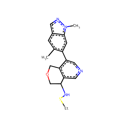 CCSNC1COCc2c(-c3cc4c(cnn4C)cc3C)cncc21